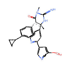 CN1C(=N)N[C@](C)(c2ccnc(-c3cncc(O)c3)c2)[C@H](c2ccc(C3CC3)cc2)C1=O